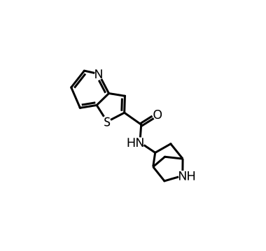 O=C(NC1CC2CC1CN2)c1cc2ncccc2s1